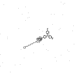 Fc1ccc([S+](c2ccc(F)cc2)c2ccc(F)cc2)cc1.O=C(OCCCCCCCCCCl)C(F)(F)S(=O)(=O)[O-]